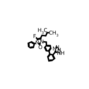 CC(C)CCc1c(F)n(-c2ccccc2)c(=O)n1Cc1ccc(-c2ccccc2-c2nnn[nH]2)cc1